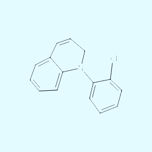 Clc1ccccc1N1CC=Cc2ccccc21